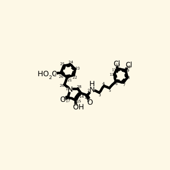 O=C(NCCCc1ccc(Cl)c(Cl)c1)C1=C(O)C(=O)N(Cc2ccccc2C(=O)O)C1